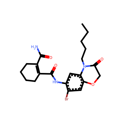 CCCCCN1C(=O)COc2cc(Br)c(NC(=O)C3=C(C(N)=O)CCCC3)cc21